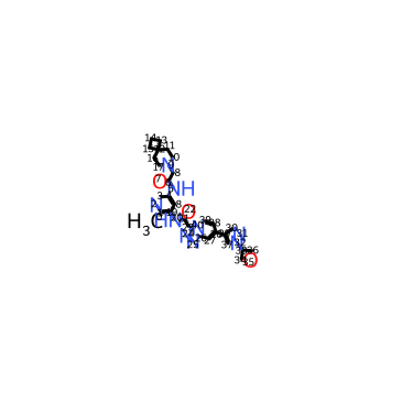 Cc1ncc(NC(=O)CN2CCC3(CCC3)CC2)cc1NC(=O)c1nnc2cc(-c3cnn(C4COC4)c3)ccn12